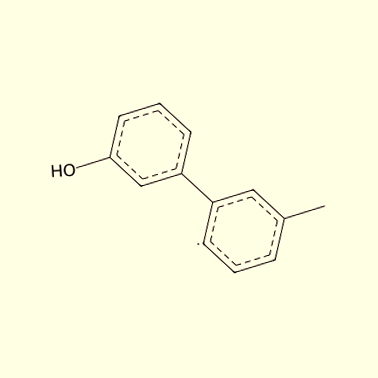 Cc1cc[c]c(-c2cccc(O)c2)c1